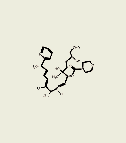 C/C(=C\C=C\[C@H](C)c1ccccn1)[C@@H](C=O)[C@@H](C)/C=C/[C@H](OC(=O)N1CCOCC1)[C@@](C)(O)CC[C@H](O)CC=O